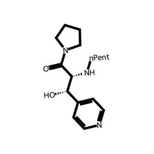 CCCCCN[C@@H](C(=O)N1CCCC1)[C@@H](O)c1ccncc1